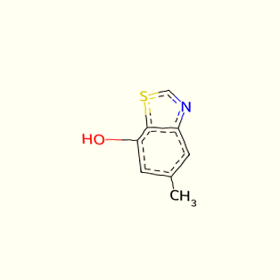 Cc1cc(O)c2scnc2c1